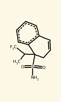 CC(C(F)(F)F)C1(S(N)(=O)=O)CC=Cc2ccccc21